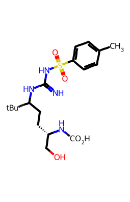 Cc1ccc(S(=O)(=O)NC(=N)NC(CC[C@@H](CO)NC(=O)O)C(C)(C)C)cc1